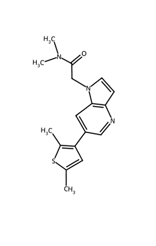 Cc1cc(-c2cnc3ccn(CC(=O)N(C)C)c3c2)c(C)s1